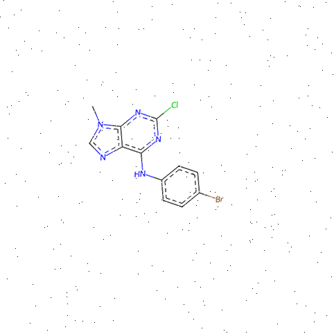 Cn1cnc2c(Nc3ccc(Br)cc3)nc(Cl)nc21